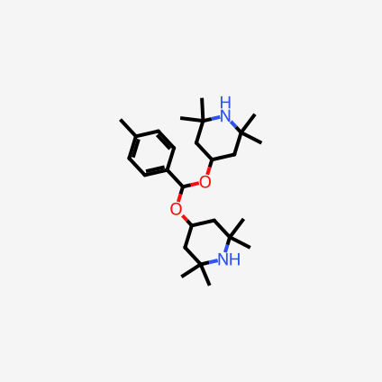 Cc1ccc(C(OC2CC(C)(C)NC(C)(C)C2)OC2CC(C)(C)NC(C)(C)C2)cc1